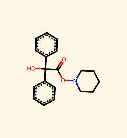 O=C(ON1CCCCC1)C(O)(c1ccccc1)c1ccccc1